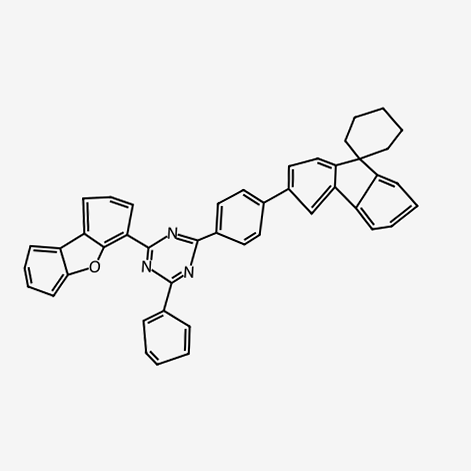 c1ccc(-c2nc(-c3ccc(-c4ccc5c(c4)-c4ccccc4C54CCCCC4)cc3)nc(-c3cccc4c3oc3ccccc34)n2)cc1